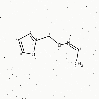 C/C=N\OCc1ccco1